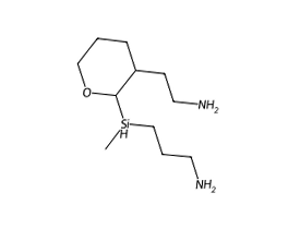 C[SiH](CCCN)C1OCCCC1CCN